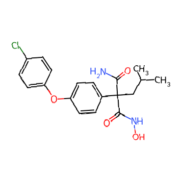 CC(C)CC(C(N)=O)(C(=O)NO)c1ccc(Oc2ccc(Cl)cc2)cc1